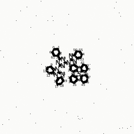 c1ccc(-c2nc(-n3c4ccccc4n4c5ccccc5nc34)nc(-n3c4ccc(S(c5ccccc5)(c5ccccc5)c5ccccc5)cc4n4c5ccccc5nc34)n2)cc1